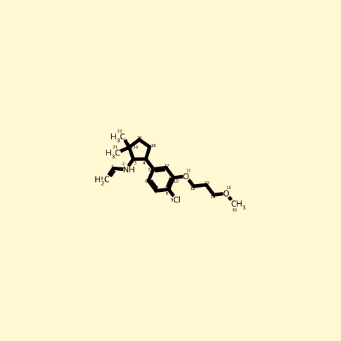 C=CNC1C(c2ccc(Cl)c(OCCCOC)c2)CCC1(C)C